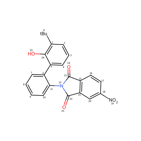 CC(C)(C)c1cccc(-c2ccccc2N2C(=O)c3ccc([N+](=O)[O-])cc3C2=O)c1O